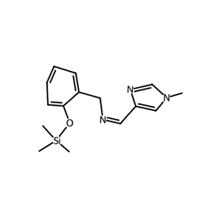 Cn1cnc(/C=N\Cc2ccccc2O[Si](C)(C)C)c1